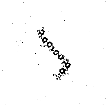 CCN(C)S(=O)(=O)Nc1ccc(F)c(Oc2ccc3ncn(-c4cnc(N5CCN(C(=O)CN6CC[C@H](c7ccc(NC8CCC(=O)NC8=O)cc7F)[C@@H](OC)C6)CC5)nc4)c(=O)c3c2)c1C#N